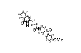 COc1cccc(C(=O)C2CCN(C(=O)CCCc3nc4ccccc4c(=O)[nH]3)CC2)c1